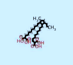 CCCC1CC(C)C(CCCCCCCCCC(C(=O)O)C(=O)O)C1CCCCCCCCCC(C(=O)O)C(=O)O